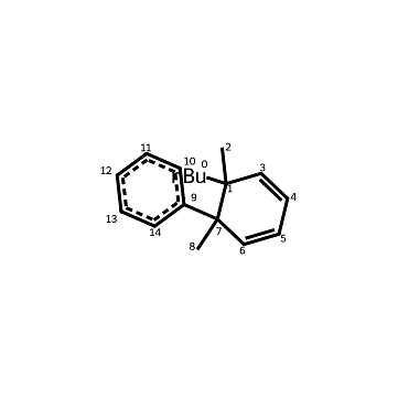 CCCCC1(C)C=CC=CC1(C)c1ccccc1